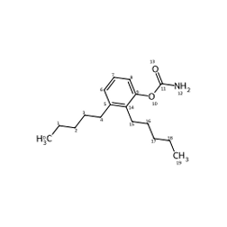 CCCCCc1cccc(OC(N)=O)c1CCCCC